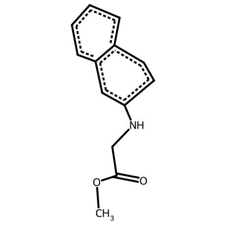 COC(=O)CNc1ccc2ccccc2c1